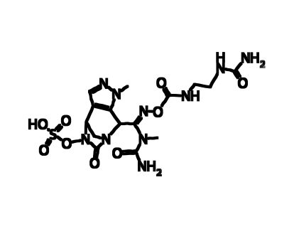 CN(C(N)=O)/C(=N\OC(=O)NCCNC(N)=O)C1c2c(cnn2C)C2CN1C(=O)N2OS(=O)(=O)O